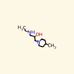 CCNCC(O)CN1CCC(C)CC1